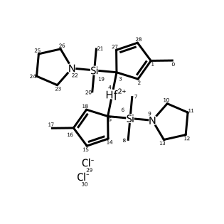 CC1=C[C]([Hf+2][C]2([Si](C)(C)N3CCCC3)C=CC(C)=C2)([Si](C)(C)N2CCCC2)C=C1.[Cl-].[Cl-]